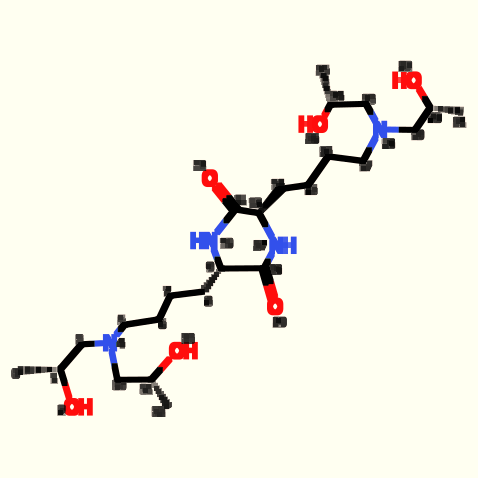 C[C@@H](O)CN(CCCC[C@@H]1NC(=O)[C@@H](CCCCN(C[C@@H](C)O)C[C@@H](C)O)NC1=O)C[C@@H](C)O